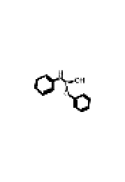 OP(Nc1ccccc1)Oc1ccccc1